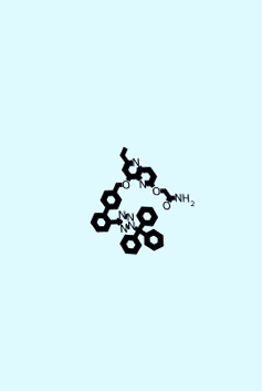 CCc1cc(OCc2ccc(-c3ccccc3-c3nnn(C(c4ccccc4)(c4ccccc4)c4ccccc4)n3)cc2)c2nc(OCC(N)=O)ccc2n1